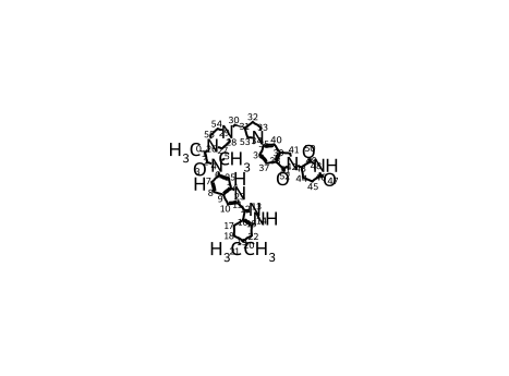 C[C@@H](C(O)N(C)c1ccc2cc(-c3n[nH]c4c3CCC(C)(C)C4)[nH]c2c1)N1CCN(C[C@H]2CCN(c3ccc4c(c3)CN(C3CCC(=O)NC3=O)C4=O)C2)CC1